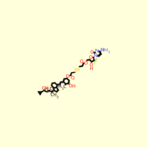 CC1/C(=C\C=C2/CCC[C@@]3(C)C2CCC3[C@@H](C)/C=C/C(O)C2CC2)CC(OC(=O)CCSSCCC(=O)OCC2OC(n3ccc(N)nc3=O)C(F)(F)C2O)C[C@@H]1O